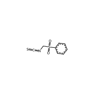 O=S(=O)(CN=C=S)c1ccccc1